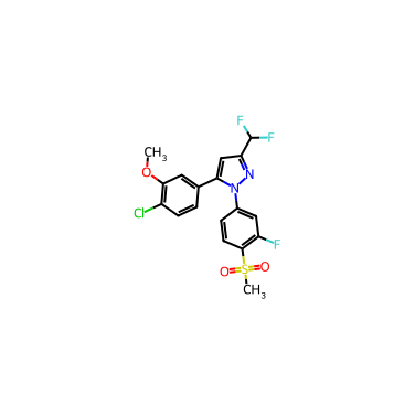 COc1cc(-c2cc(C(F)F)nn2-c2ccc(S(C)(=O)=O)c(F)c2)ccc1Cl